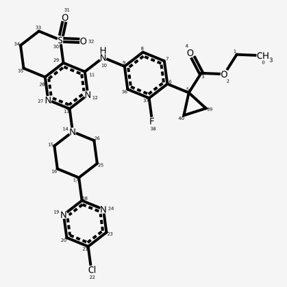 CCOC(=O)C1(c2ccc(Nc3nc(N4CCC(c5ncc(Cl)cn5)CC4)nc4c3S(=O)(=O)CCC4)cc2F)CC1